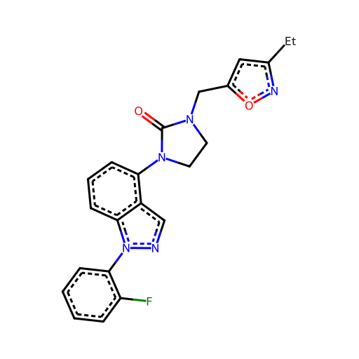 CCc1cc(CN2CCN(c3cccc4c3cnn4-c3ccccc3F)C2=O)on1